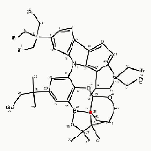 CC(C)C[Si](CC(C)C)(CC(C)C)c1ccc2c3ccc4c(c3n(-c3cc(C(C)(C)CC(C)(C)C)cc(B5OC(C)(C)C(C)(C)O5)c3OC3CCCCO3)c2c1)C(C)C[Si]4(CC(C)C)CC(C)C